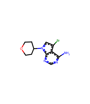 Nc1ncnc2c1c(Br)cn2C1CCOCC1